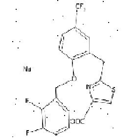 O=C([O-])c1csc(Cc2cc(C(F)(F)F)ccc2OCc2cccc(F)c2F)n1.[Na+]